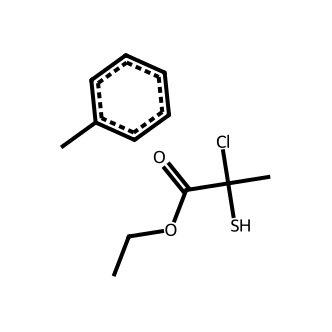 CCOC(=O)C(C)(S)Cl.Cc1ccccc1